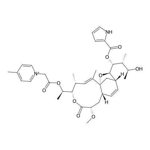 CO[C@H]1C[C@H]2C=C[C@@H]3C[C@]2(O[C@H]3[C@H](OC(=O)c2ccc[nH]2)[C@H](C)[C@H](C)O)/C(C)=C/[C@@H](C)[C@@H]([C@@H](C)OC(=O)C[n+]2ccc(C)cc2)OC1=O